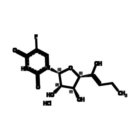 CCC=C(O)[C@H]1O[C@@H](n2cc(F)c(=O)[nH]c2=O)[C@H](O)[C@@H]1O.Cl